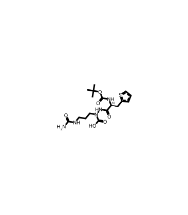 CC(C)(C)OC(=O)N[C@@H](Cc1cccs1)C(=O)NN(CCCNC(N)=O)C(=O)O